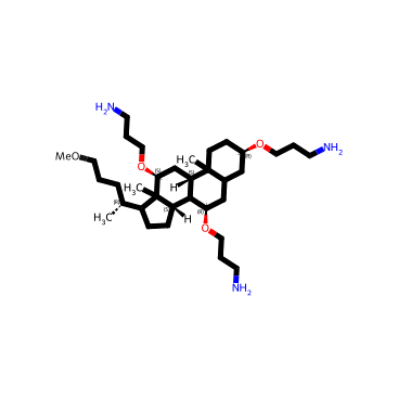 COCCC[C@@H](C)C1CC[C@H]2C3[C@H](OCCCN)CC4C[C@H](OCCCN)CCC4(C)[C@H]3C[C@H](OCCCN)C12C